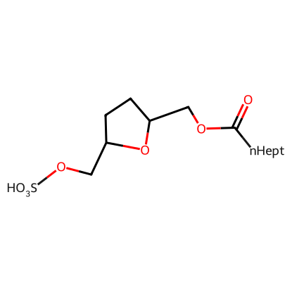 CCCCCCCC(=O)OCC1CCC(COS(=O)(=O)O)O1